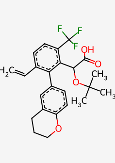 C=Cc1ccc(C(F)(F)F)c(C(OC(C)(C)C)C(=O)O)c1-c1ccc2c(c1)CCCO2